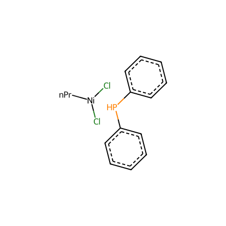 CC[CH2][Ni]([Cl])[Cl].c1ccc(Pc2ccccc2)cc1